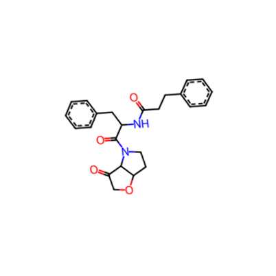 O=C(CCc1ccccc1)NC(Cc1ccccc1)C(=O)N1CCC2OCC(=O)C21